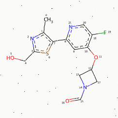 Cc1nc(CO)sc1-c1cc(OC2CN(C=O)C2)c(F)cn1